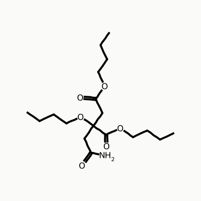 CCCCOC(=O)CC(CC(N)=O)(OCCCC)C(=O)OCCCC